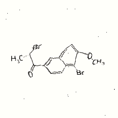 COc1ccc2cc(C(=O)[C@H](C)Br)ccc2c1Br